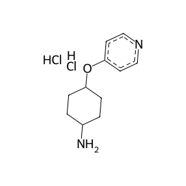 Cl.Cl.NC1CCC(Oc2ccncc2)CC1